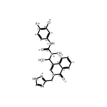 CC(c1cn(Cc2nc[nH]n2)c(=O)c2ccccc12)N(C)C(=O)Nc1ccc(F)c(Cl)c1